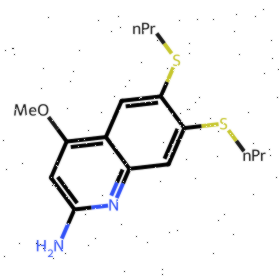 CCCSc1cc2nc(N)cc(OC)c2cc1SCCC